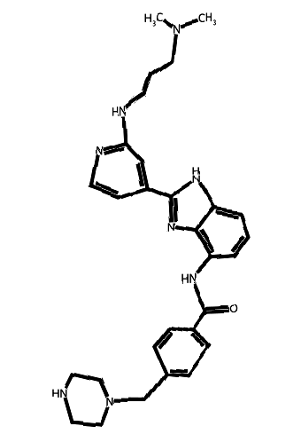 CN(C)CCCNc1cc(-c2nc3c(NC(=O)c4ccc(CN5CCNCC5)cc4)cccc3[nH]2)ccn1